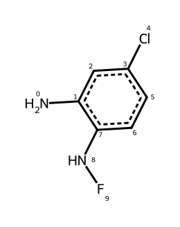 Nc1cc(Cl)ccc1NF